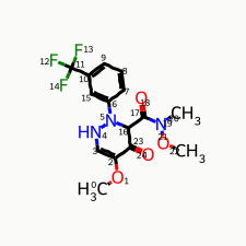 COC1=CNN(c2cccc(C(F)(F)F)c2)C(C(=O)N(C)OC)C1=O